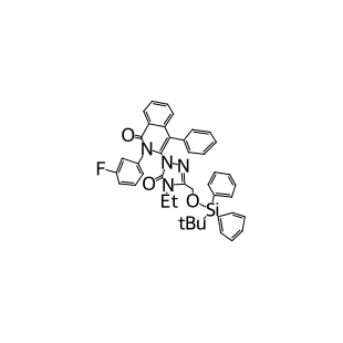 CCn1c(CO[Si](c2ccccc2)(c2ccccc2)C(C)(C)C)nn(-c2c(-c3ccccc3)c3ccccc3c(=O)n2-c2cccc(F)c2)c1=O